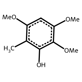 COc1cc(OC)c(OC)c(O)c1C